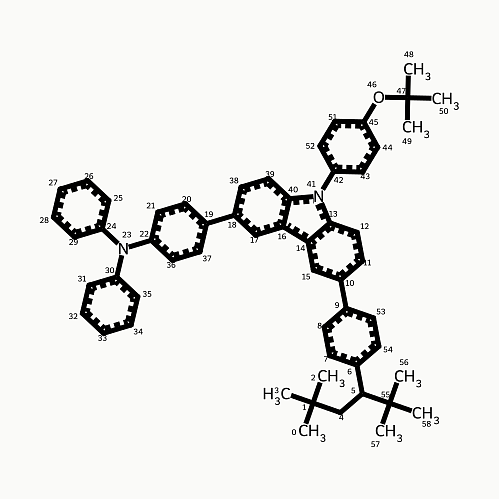 CC(C)(C)CC(c1ccc(-c2ccc3c(c2)c2cc(-c4ccc(N(c5ccccc5)c5ccccc5)cc4)ccc2n3-c2ccc(OC(C)(C)C)cc2)cc1)C(C)(C)C